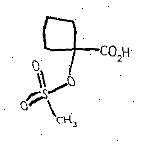 CS(=O)(=O)OC1(C(=O)O)CCC1